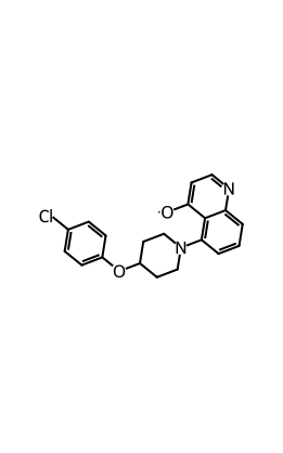 [O]c1ccnc2cccc(N3CCC(Oc4ccc(Cl)cc4)CC3)c12